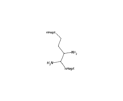 CCCCCCCCCC(N)C(N)CCCCCCC